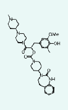 COc1cc(C[C@@H](OC(=O)N2CCC(N3CCc4ccccc4NC3=O)CC2)C(=O)N2CCN(C3CCN(C)CC3)CC2)cc(C)c1O